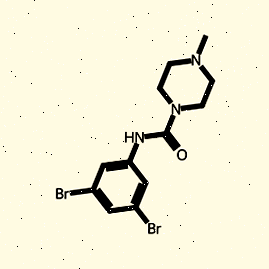 CN1CCN(C(=O)Nc2cc(Br)cc(Br)c2)CC1